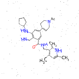 C=C1NC(C)=CC(C)=C1CNC(=O)c1cc(C2=CCN(C(C)=O)CC2)cc(NC2CCCC2)c1C=N